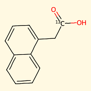 O=[13C](O)Cc1cccc2ccccc12